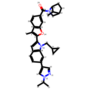 Cc1c(-c2cc3ccc(-c4cnn(C(C)C)c4)cc3n2CC2CC2)oc2cc(C(=O)N3CC4CCC3C4C)ccc12